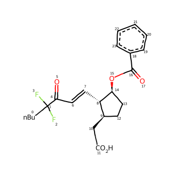 CCCCC(F)(F)C(=O)C=C[C@H]1[C@H](CC(=O)O)CC[C@@H]1OC(=O)c1ccccc1